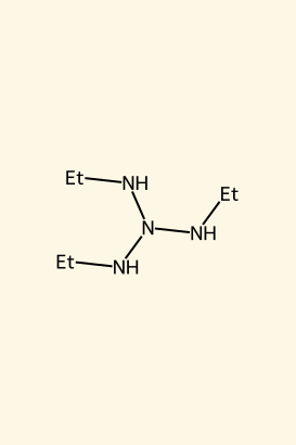 CCNN(NCC)NCC